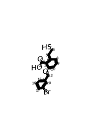 O=C(O)c1c(CCS)cccc1OCc1cccc(Br)c1